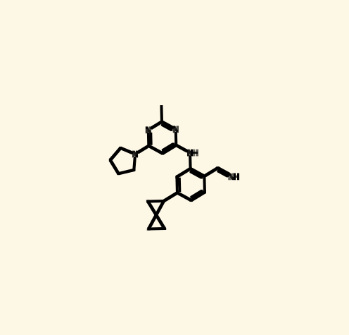 Cc1nc(Nc2cc(C3CC34CC4)ccc2C=N)cc(N2CCCC2)n1